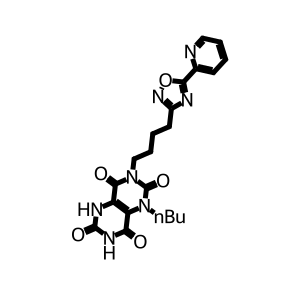 CCCCn1c(=O)n(CCCCc2noc(-c3ccccn3)n2)c(=O)c2[nH]c(=O)[nH]c(=O)c21